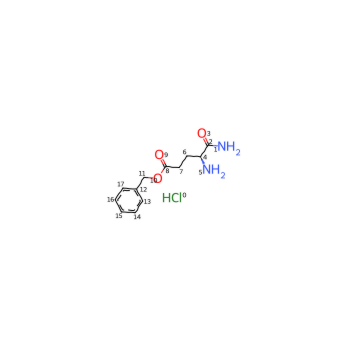 Cl.NC(=O)[C@@H](N)CCC(=O)OCc1ccccc1